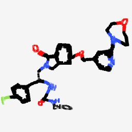 O=CNC(=O)N[C@@H](CN1Cc2cc(OCc3ccnc(N4CCOCC4)c3)ccc2C1=O)c1ccc(F)cc1